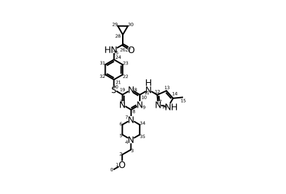 COCCN1CCN(c2nc(Nc3cc(C)[nH]n3)nc(Sc3ccc(NC(=O)C4CC4)cc3)n2)CC1